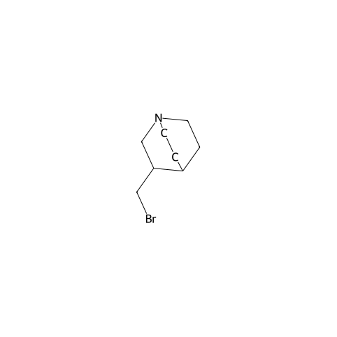 BrCC1CN2CCC1CC2